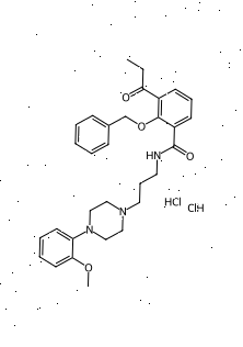 CCC(=O)c1cccc(C(=O)NCCCN2CCN(c3ccccc3OC)CC2)c1OCc1ccccc1.Cl.Cl